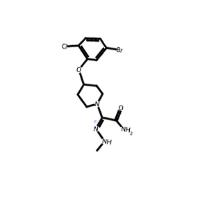 CN/N=C(\C(N)=O)N1CCC(Oc2cc(Br)ccc2Cl)CC1